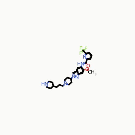 COc1cc2nn(C3CCN(CCCC4CCNCC4)CC3)cc2cc1NC(=O)c1cccc(C(F)(F)F)n1